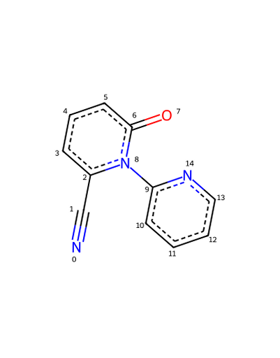 N#Cc1cccc(=O)n1-c1ccccn1